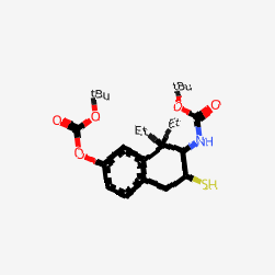 CCC1(CC)c2cc(OC(=O)OC(C)(C)C)ccc2CC(S)C1NC(=O)OC(C)(C)C